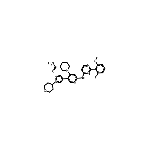 COc1cccc(F)c1-c1nccc(Nc2cc(N3CCC[C@@H](C(N)=O)C3)c(-c3cnn(C4CCOCC4)c3)cn2)n1